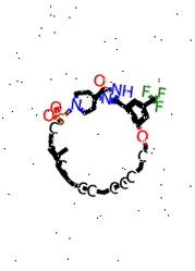 Cc1cc2ccc1CCS(=O)(=O)N1CCC3(CC1)N=C(NC3=O)c1cc(cc(C(F)(F)F)c1)OCCCCCCCCCC2